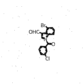 O=Cc1cn(C(=O)c2cccc(Cl)c2)c2cccc(Br)c12